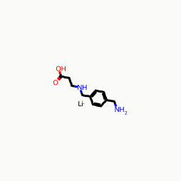 NCc1ccc(CNCCC(=O)O)cc1.[Li]